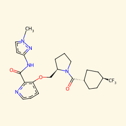 Cn1ccc(NC(=O)c2ncccc2OC[C@H]2CCCN2C(=O)[C@H]2CC[C@H](C(F)(F)F)CC2)n1